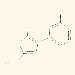 CCOC(=O)c1nc(-c2cccc(Cl)c2)c(Br)s1